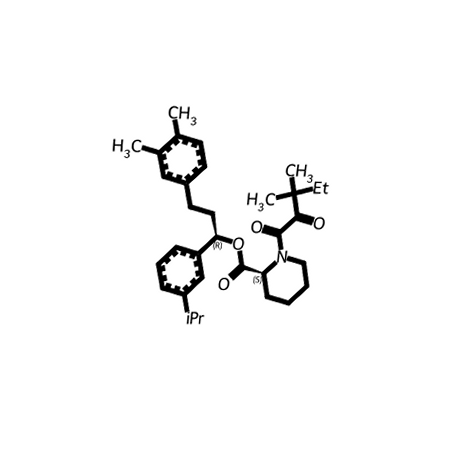 CCC(C)(C)C(=O)C(=O)N1CCCC[C@H]1C(=O)O[C@H](CCc1ccc(C)c(C)c1)c1cccc(C(C)C)c1